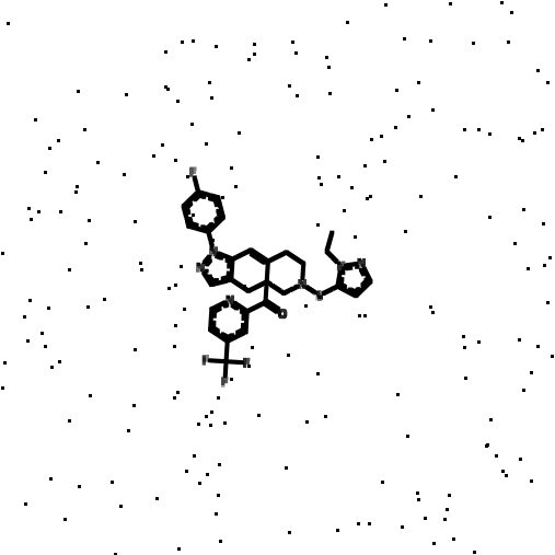 CCn1nccc1SN1CCC2=Cc3c(cnn3-c3ccc(F)cc3)CC2(C(=O)c2cc(C(F)(F)F)ccn2)C1